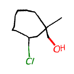 CC1(O)CCCC1Cl